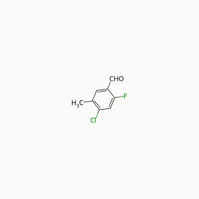 Cc1cc(C=O)c(F)cc1Cl